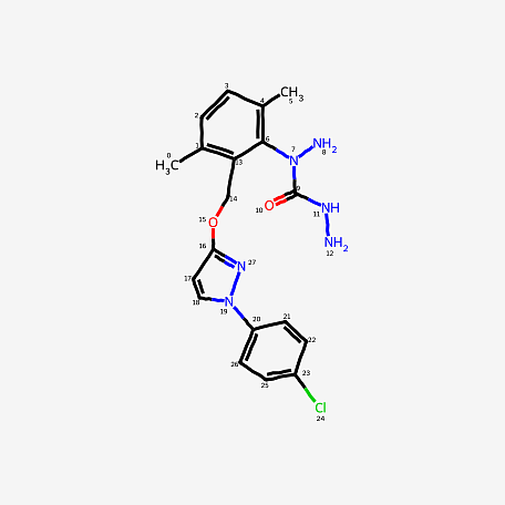 Cc1ccc(C)c(N(N)C(=O)NN)c1COc1ccn(-c2ccc(Cl)cc2)n1